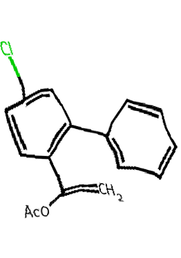 C=C(OC(C)=O)c1ccc(Cl)cc1-c1ccccc1